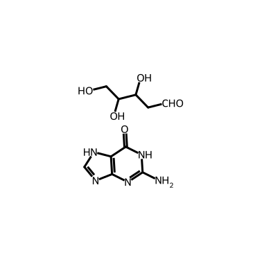 Nc1nc2nc[nH]c2c(=O)[nH]1.O=CCC(O)C(O)CO